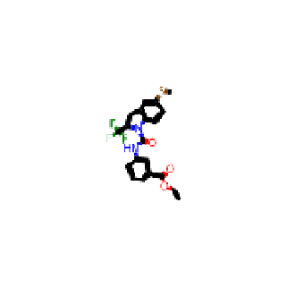 CCOC(=O)c1cccc(NC(=O)N2c3ccc(SC)cc3CC2C(F)(F)F)c1